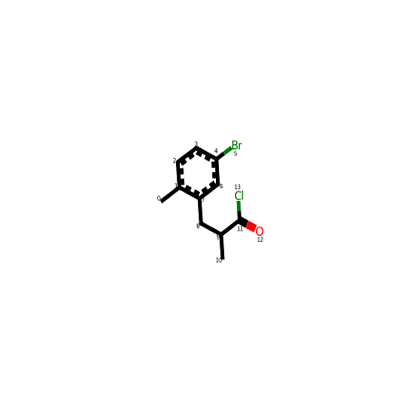 Cc1ccc(Br)cc1CC(C)C(=O)Cl